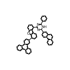 c1ccc(C2=NC(c3cccc4oc5c(-c6ccc7c8ccccc8c8ccccc8c7c6)cccc5c34)=NC(c3ccc4c(ccc5ccccc54)c3)N2)cc1